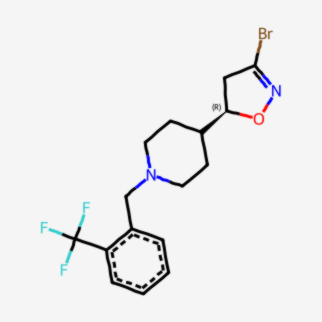 FC(F)(F)c1ccccc1CN1CCC([C@H]2CC(Br)=NO2)CC1